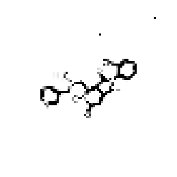 CN(Cc1cccnc1)Cc1c2c(=O)n(-c3ccccc3Cl)[nH]c2cc(=O)n1C